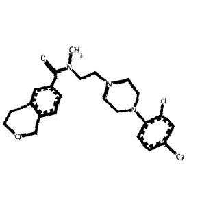 CN(CCN1CCN(c2ccc(Cl)cc2Cl)CC1)C(=O)c1ccc2c(c1)CCOC2